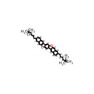 CC(C)(C)CCCCc1ccc2cc3c(cc2c1)oc1cc2c(cc13)oc1cc3cc(CCCCC(C)(C)C)ccc3cc12